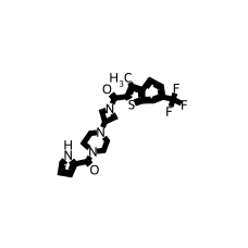 Cc1c(C(=O)N2CC(N3CCN(C(=O)c4ccc[nH]4)CC3)C2)sc2cc(C(F)(F)F)ccc12